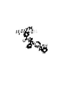 COc1cc(C(=O)N2CCC(CCN3CCCN(c4nc5ccccc5[nH]4)CC3)(c3ccccc3)C2)cc(OC)c1OC